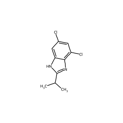 CC(C)c1nc2c(Cl)cc(Cl)cc2[nH]1